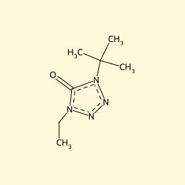 CCn1nnn(C(C)(C)C)c1=O